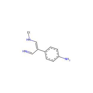 CCN/C=C(\C=N)c1ccc(N)cc1